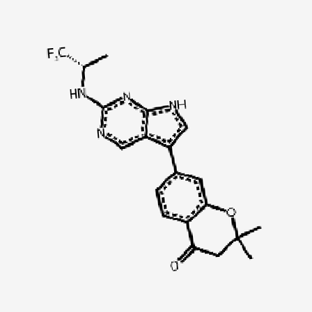 C[C@H](Nc1ncc2c(-c3ccc4c(c3)OC(C)(C)CC4=O)c[nH]c2n1)C(F)(F)F